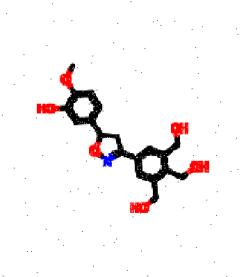 COc1ccc(C2CC(c3cc(CO)c(CO)c(CO)c3)=NO2)cc1O